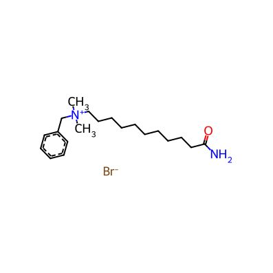 C[N+](C)(CCCCCCCCCCC(N)=O)Cc1ccccc1.[Br-]